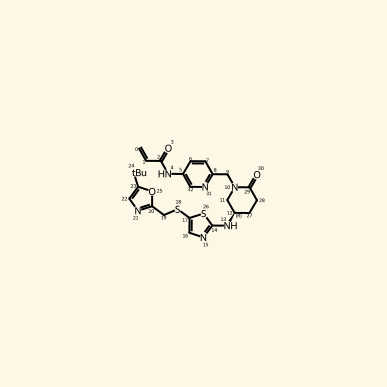 C=CC(=O)Nc1ccc(CN2C[C@H](Nc3ncc(SCc4ncc(C(C)(C)C)o4)s3)CCC2=O)nc1